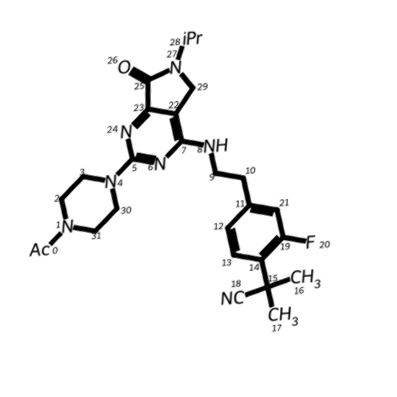 CC(=O)N1CCN(c2nc(NCCc3ccc(C(C)(C)C#N)c(F)c3)c3c(n2)C(=O)N(C(C)C)C3)CC1